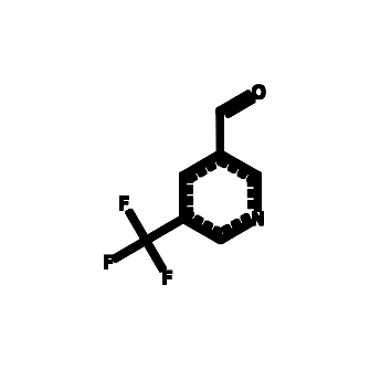 O=Cc1cncc(C(F)(F)F)c1